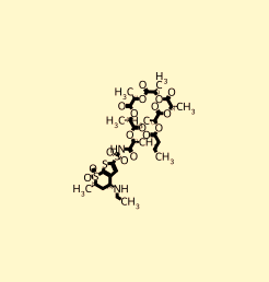 CCCC(=O)O[C@@H](C)C(=O)O[C@@H](C)C(=O)O[C@@H](C)C(=O)O[C@@H](C)C(=O)O[C@@H](C)C(=O)O[C@@H](C)C(=O)NS(=O)(=O)c1cc2c(s1)S(=O)(=O)[C@@H](C)C[C@@H]2NCC